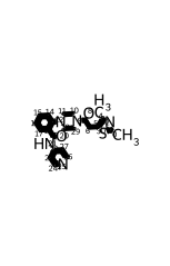 Cc1nc(C)c(CC(=O)N2CCN(c3ccccc3C(=O)Nc3ccncc3)CC2)s1